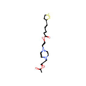 CC(=O)OCCN1CCN(CCOC(=O)CCCCC2CCSS2)CC1